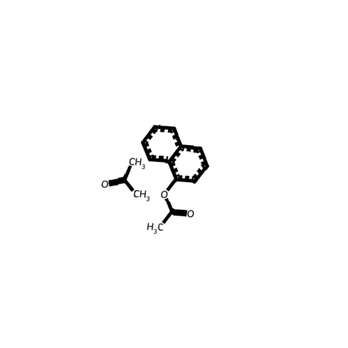 CC(=O)Oc1cccc2ccccc12.CC(C)=O